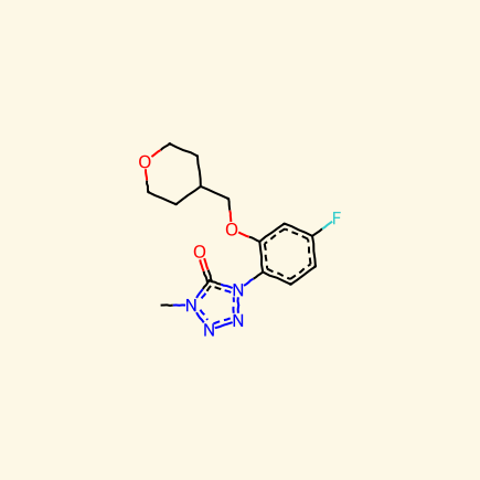 Cn1nnn(-c2ccc(F)cc2OCC2CCOCC2)c1=O